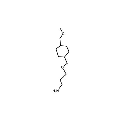 COCC1CCC(COCCCN)CC1